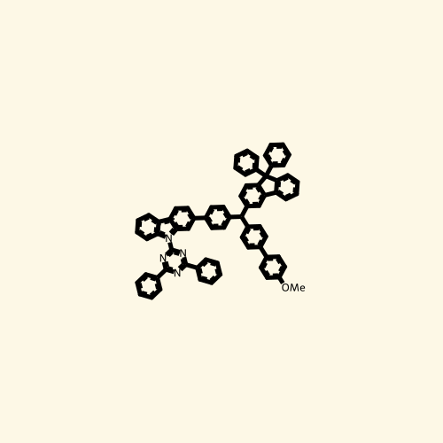 COc1ccc(-c2ccc(C(c3ccc(-c4ccc5c6ccccc6n(-c6nc(-c7ccccc7)nc(-c7ccccc7)n6)c5c4)cc3)c3ccc4c(c3)-c3ccccc3C4(c3ccccc3)c3ccccc3)cc2)cc1